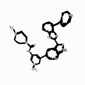 CN1C=C(NC(=O)N2CCN(C)CC2)C=C(c2cnc3[nH]nc(-c4nc5c(-c6ccncc6)cccc5[nH]4)c3c2)C1